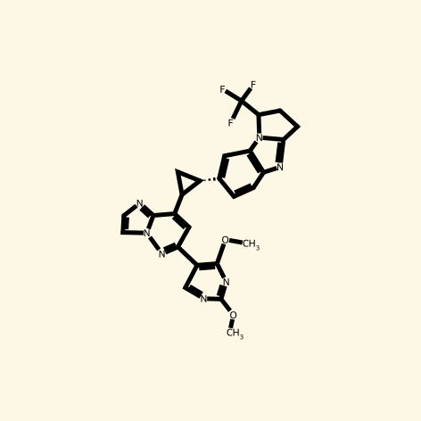 COc1ncc(-c2cc(C3C[C@@H]3c3ccc4nc5n(c4c3)C(C(F)(F)F)CC5)c3nccn3n2)c(OC)n1